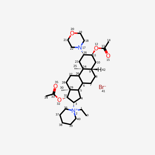 CC[N+]1([C@H]2CC3C4CC[C@H]5C[C@H](OC(C)=O)[C@@H](N6CCOCC6)C[C@]5(C)C4CC[C@]3(C)[C@H]2OC(C)=O)CCCCC1.[Br-]